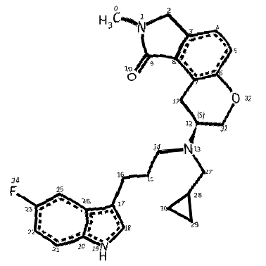 CN1Cc2ccc3c(c2C1=O)C[C@H](N(CCCc1c[nH]c2ccc(F)cc12)CC1CC1)CO3